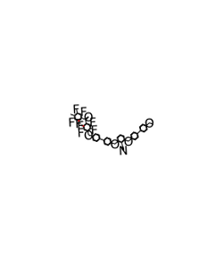 COc1ccc(-c2ccc(Oc3cccc(Oc4ccc(-c5ccc(Oc6c(F)c(F)c(C(=O)c7c(F)c(F)c(C)c(F)c7F)c(F)c6F)cc5)cc4)c3C#N)cc2)cc1